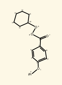 CC(C)Oc1ccc(C(=O)OO[C]2CCCCC2)cc1